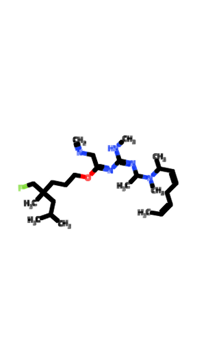 C=NC/C(=N\C(=N/C(C)N(C)C(C)/C=C\C/C=C\C)NC)OCCCC(C)(CF)CC(C)C